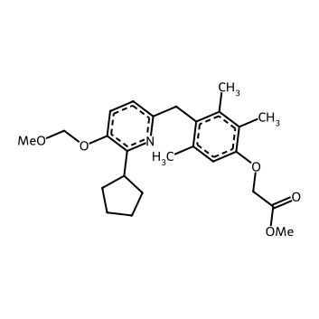 COCOc1ccc(Cc2c(C)cc(OCC(=O)OC)c(C)c2C)nc1C1CCCC1